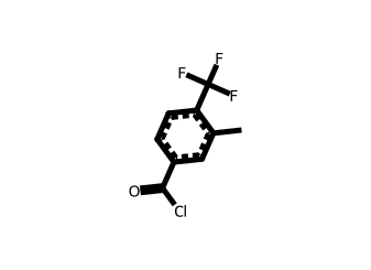 Cc1cc(C(=O)Cl)ccc1C(F)(F)F